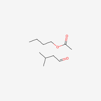 CC(C)CC=O.CCCCOC(C)=O